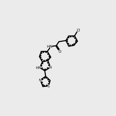 O=C(Cc1cccc(Cl)c1)Nc1ccc2[nH]c(-c3cscn3)nc2c1